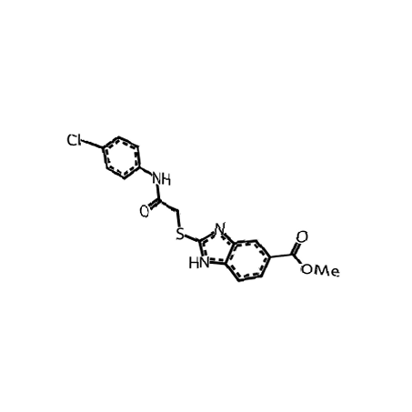 COC(=O)c1ccc2[nH]c(SCC(=O)Nc3ccc(Cl)cc3)nc2c1